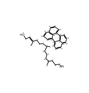 C/C(=C\CO)CCCC(C)CCCC(C)CCCC(C)C.c1cc2cccc3c4cccc5cccc(c(c1)c23)c54